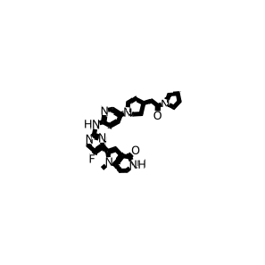 Cn1c(-c2nc(Nc3ccc(N4CCC(CC(=O)N5CCCC5)CC4)cn3)ncc2F)cc2c1CCNC2=O